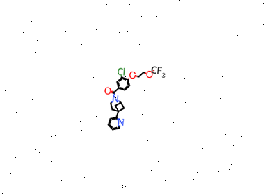 O=C(c1ccc(OCCOC(F)(F)F)c(Cl)c1)N1CCC2(c3ccccn3)CC1C2